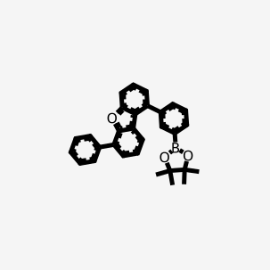 CC1(C)OB(c2cccc(-c3cccc4oc5c(-c6ccccc6)cccc5c34)c2)OC1(C)C